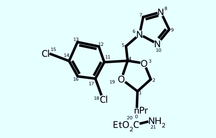 CCCC1COC(Cn2cncn2)(c2ccc(Cl)cc2Cl)O1.CCOC(N)=O